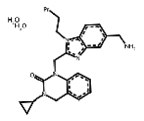 CC(C)CCn1c(CN2C(=O)N(C3CC3)Cc3ccccc32)nc2cc(CN)ccc21.O.O